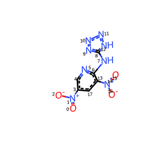 O=[N+]([O-])c1cnc(Nc2nnn[nH]2)c([N+](=O)[O-])c1